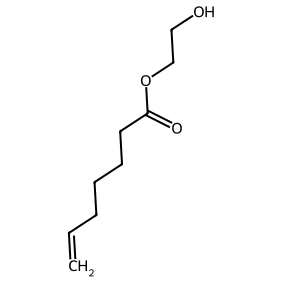 C=CCCCCC(=O)OCCO